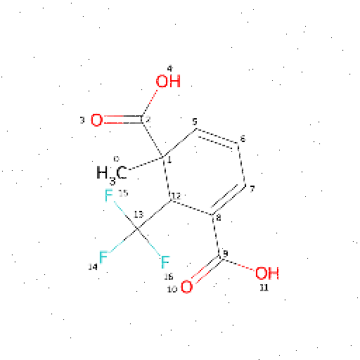 CC1(C(=O)O)C=CC=C(C(=O)O)C1C(F)(F)F